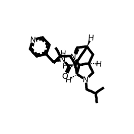 CC(C)C[C@@H]1[C@@H]2C=N[C@@]3(C(=O)NCc4ccncc4)[C@@H](C2)CN(CC(C)C)[C@@H]13